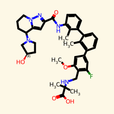 COc1cc(-c2cccc(-c3cccc(NC(=O)c4cc5n(n4)CCCC5N4CC[C@@H](O)C4)c3C)c2C)cc(F)c1CNC(C)(C)C(=O)O